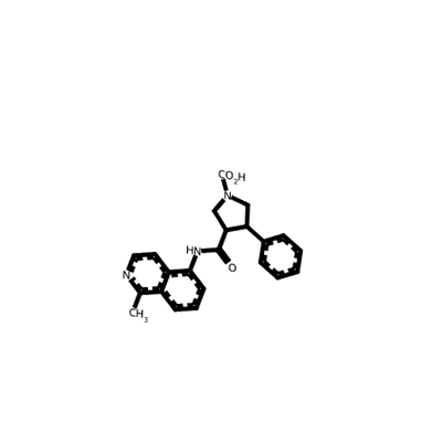 Cc1nccc2c(NC(=O)C3CN(C(=O)O)CC3c3ccccc3)cccc12